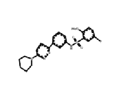 COc1ccc(F)cc1S(=O)(=O)Nc1cccc(-c2ccc(N3CCCCC3)nn2)c1